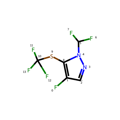 Fc1[c]nn(C(F)F)c1SC(F)(F)F